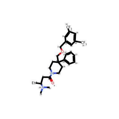 CCC(CC(=O)N1CCC(COCc2cc(C(F)(F)F)cc(C(F)(F)F)c2)(c2ccccc2)CC1)N(C)C